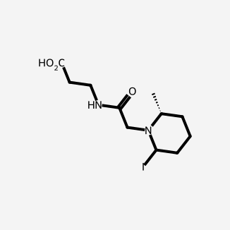 C[C@@H]1CCCC(I)N1CC(=O)NCCC(=O)O